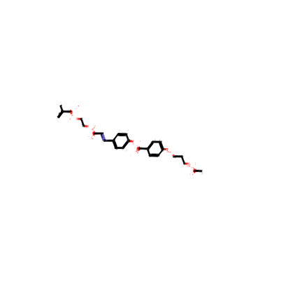 C=C(C)C(=O)OCCOC(=O)/C=C/c1ccc(OC(=O)c2ccc(OCCCOC(C)=O)cc2)cc1